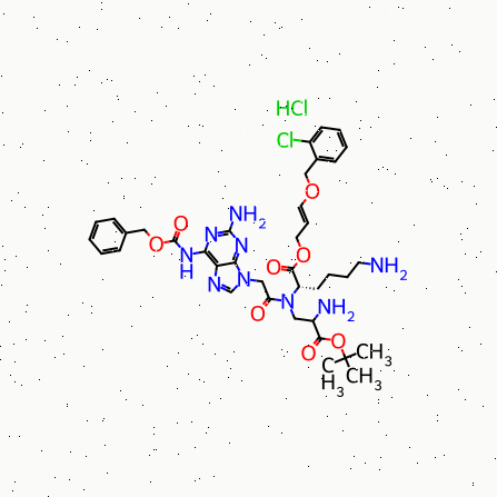 CC(C)(C)OC(=O)C(N)CN(C(=O)Cn1cnc2c(NC(=O)OCc3ccccc3)nc(N)nc21)[C@@H](CCCCN)C(=O)OCC=COCc1ccccc1Cl.Cl